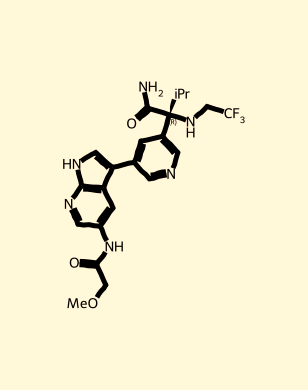 COCC(=O)Nc1cnc2[nH]cc(-c3cncc([C@@](NCC(F)(F)F)(C(N)=O)C(C)C)c3)c2c1